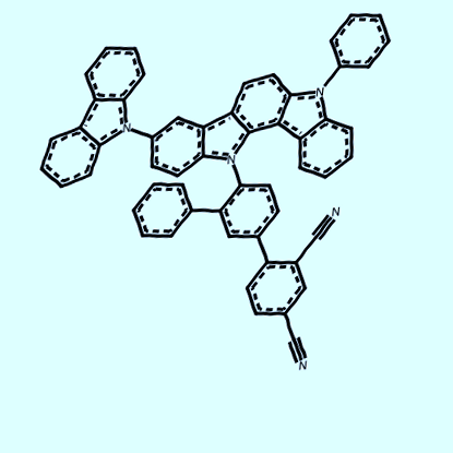 N#Cc1ccc(-c2ccc(-n3c4ccc(-n5c6ccccc6c6ccccc65)cc4c4ccc5c(c6ccccc6n5-c5ccccc5)c43)c(-c3ccccc3)c2)c(C#N)c1